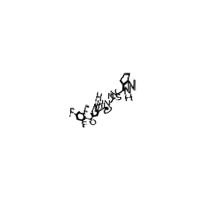 O=C(NCc1nnc(-c2[nH]nc3c2CCC3)s1)c1cc(C(=O)c2c(F)cc(F)cc2F)c[nH]1